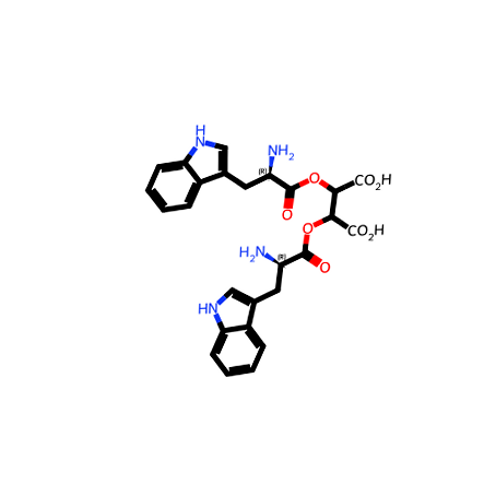 N[C@H](Cc1c[nH]c2ccccc12)C(=O)OC(C(=O)O)C(OC(=O)[C@H](N)Cc1c[nH]c2ccccc12)C(=O)O